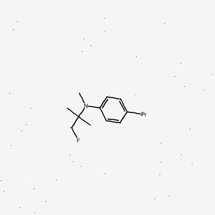 CC(C)c1ccc(N(C)C(C)(C)CF)cc1